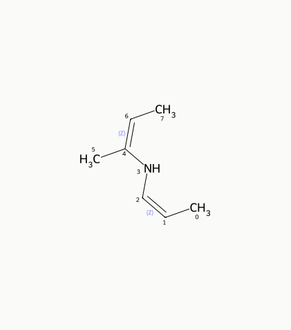 C/C=C\N/C(C)=C\C